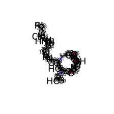 CC[C@H]1C/C(C)=C/[C@@H](CCCC(=O)N2CCN(Cc3ccc(-c4ccc5ncnc(Nc6ccc(OCc7cccc(F)c7)c(Cl)c6)c5c4)o3)CC2)C(=O)C[C@H](O)[C@@H](C)[C@@H](/C(C)=C/[C@@H]2CC[C@@H](O)[C@H](OC)C2)COC(=O)[C@@H]2CCCCN2C(=O)C(=O)[C@]2(O)O[C@H]([C@@H](OC)C1)[C@@H](OC)C[C@H]2C